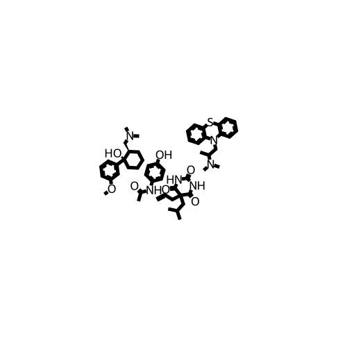 C=CCC1(CC(C)C)C(=O)NC(=O)NC1=O.CC(=O)Nc1ccc(O)cc1.CC(CN1c2ccccc2Sc2ccccc21)N(C)C.COc1cccc([C@@]2(O)CCCC[C@@H]2CN(C)C)c1